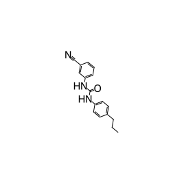 CCCc1ccc(NC(=O)Nc2cccc(C#N)c2)cc1